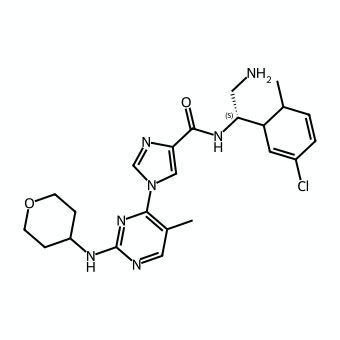 Cc1cnc(NC2CCOCC2)nc1-n1cnc(C(=O)N[C@H](CN)C2C=C(Cl)C=CC2C)c1